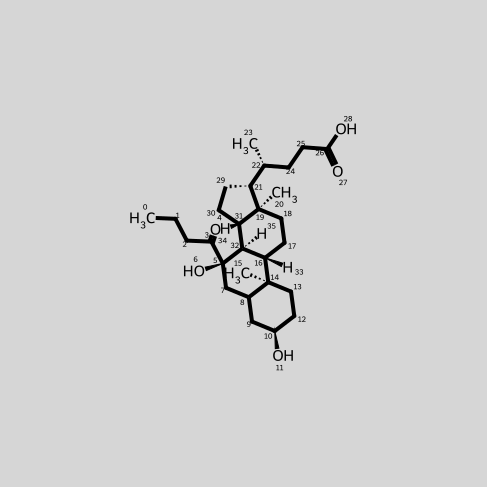 CCCC(=O)[C@@]1(O)CC2C[C@H](O)CC[C@]2(C)[C@H]2CC[C@]3(C)[C@@H]([C@H](C)CCC(=O)O)CC[C@H]3[C@@H]21